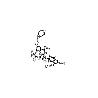 COc1cc(OC)c2nc(Nc3nc(O)c4cc(OCCN5CCOCC5)ccc4n3)nc(C)c2c1.O=C(O)C(F)(F)F